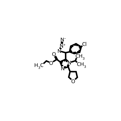 CCOC(=O)c1nc(C2CCOC2)n(C(C)C)c1C(N=[N+]=[N-])c1ccc(Cl)cc1